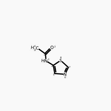 CC(=O)Nc1cn[c]s1